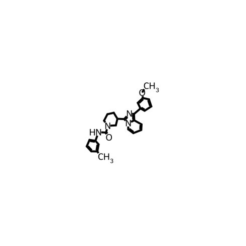 COc1cccc(-c2nc(C3CCCN(C(=O)Nc4cccc(C)c4)C3)n3ccccc23)c1